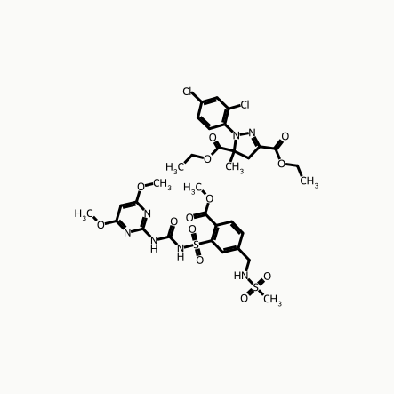 CCOC(=O)C1=NN(c2ccc(Cl)cc2Cl)C(C)(C(=O)OCC)C1.COC(=O)c1ccc(CNS(C)(=O)=O)cc1S(=O)(=O)NC(=O)Nc1nc(OC)cc(OC)n1